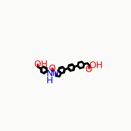 O=C(O)CC1CCC(c2ccc(-c3ccc4c(c3)CCN4C(=O)Nc3ccc(CO)cc3)cc2)CC1